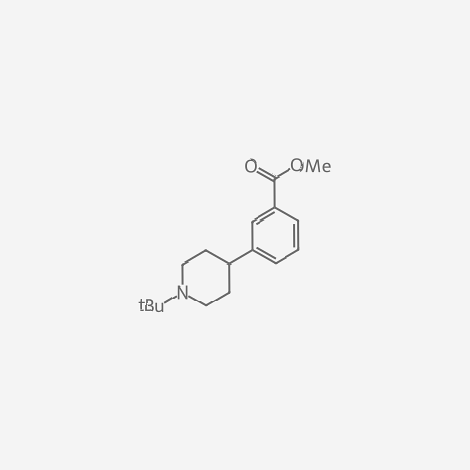 COC(=O)c1cccc(C2CCN(C(C)(C)C)CC2)c1